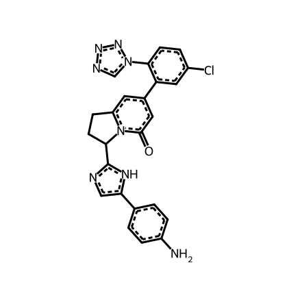 Nc1ccc(-c2cnc(C3CCc4cc(-c5cc(Cl)ccc5-n5cnnn5)cc(=O)n43)[nH]2)cc1